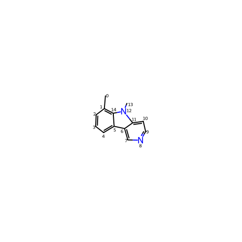 Cc1cccc2c3cnccc3n(C)c12